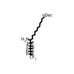 CCCCCCCCCCCCCCCCCCCCCC(N)C(F)(F)C(F)(F)C(F)(F)C(F)(F)C(F)(F)C(F)(F)F